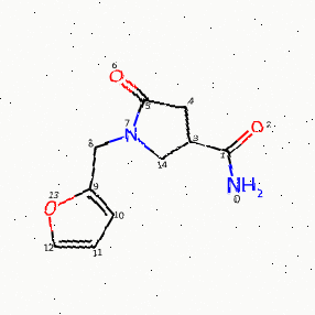 NC(=O)C1CC(=O)N(Cc2ccco2)C1